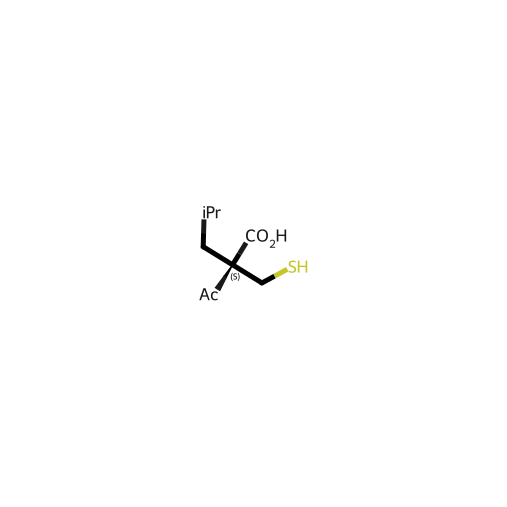 CC(=O)[C@@](CS)(CC(C)C)C(=O)O